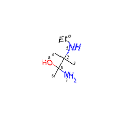 CCNC(C)(C)C(C)(N)O